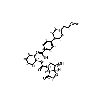 COCCN1CCC(c2ccc(C(=O)N[C@H](C(=O)N3C[C@@H](O)[C@H]4OCC(=O)[C@H]43)C3CCCCC3)cc2)CC1